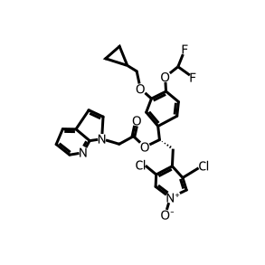 O=C(Cn1ccc2cccnc21)O[C@@H](Cc1c(Cl)c[n+]([O-])cc1Cl)c1ccc(OC(F)F)c(OCC2CC2)c1